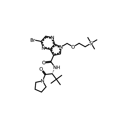 CC(C)(C)[C@@H](NC(=O)c1cn(COCC[Si](C)(C)C)c2ncc(Br)nc12)C(=O)N1CCCC1